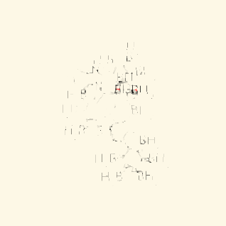 BC1=C(B)C2=C(n3c(-c4c(B)c(B)c(B)c(B)c4B)nc4ccccc43)C3=C(B)C(B)=C(B)C3C(c3ccc(-c4c(B)c(B)c(B)c(B)c4B)cc3)C2C(B)=C1B